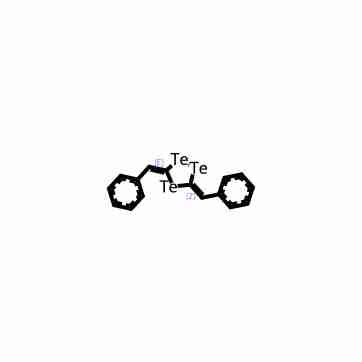 C(=C1/[Te][Te]/C(=C/c2ccccc2)[Te]1)/c1ccccc1